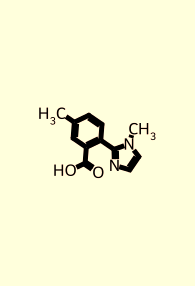 Cc1ccc(-c2nccn2C)c(C(=O)O)c1